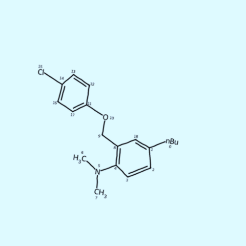 CCCCc1ccc(N(C)C)c(COc2ccc(Cl)cc2)c1